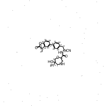 CC(C)C1(O)CNCC(C(=O)NC(C#N)Cc2ccc(-c3ccc4oc(=O)n(C)c4c3)cc2)OC1